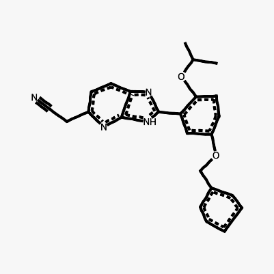 CC(C)Oc1ccc(OCc2ccccc2)cc1-c1nc2ccc(CC#N)nc2[nH]1